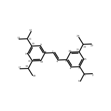 CC(C)c1cc(C=Cc2cc(C(C)C)cc(C(C)C)c2)cc(C(C)C)c1